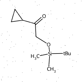 CC(C)(C)[Si](C)(C)OCC(=O)C1CC1